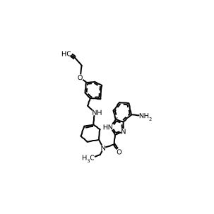 C#CCOc1cccc(CNC2=CCCC(N(CC)C(=O)c3nc4c(N)cccc4[nH]3)C2)c1